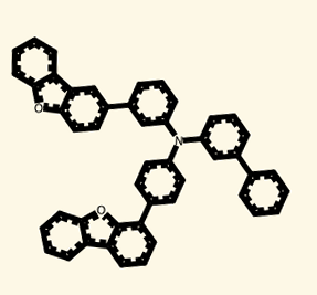 c1ccc(-c2cccc(N(c3ccc(-c4cccc5c4oc4ccccc45)cc3)c3cccc(-c4ccc5oc6ccccc6c5c4)c3)c2)cc1